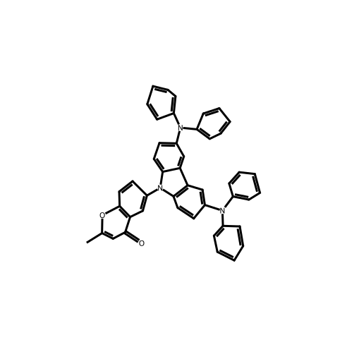 Cc1cc(=O)c2cc(-n3c4ccc(N(c5ccccc5)c5ccccc5)cc4c4cc(N(c5ccccc5)c5ccccc5)ccc43)ccc2o1